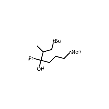 CCCCCCCCCCCCC(O)(C(C)C)C(C)CC(C)(C)C